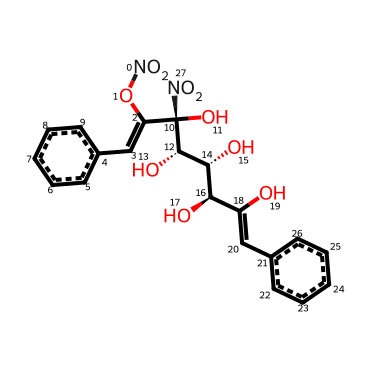 O=[N+]([O-])OC(=Cc1ccccc1)[C@](O)([C@@H](O)[C@H](O)[C@H](O)C(O)=Cc1ccccc1)[N+](=O)[O-]